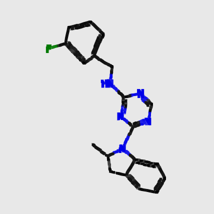 CC1Cc2ccccc2N1c1ncnc(NCc2cccc(F)c2)n1